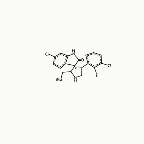 CC(C)(C)CC1NCC(c2cccc(Cl)c2F)[C@]12C(=O)Nc1cc(Cl)ccc12